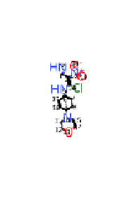 N=C/C(=C(/Cl)NC1CCC(N2CCOCC2)CC1)[N+](=O)[O-]